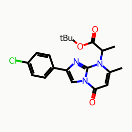 Cc1cc(=O)n2cc(-c3ccc(Cl)cc3)nc2n1C(C)C(=O)OC(C)(C)C